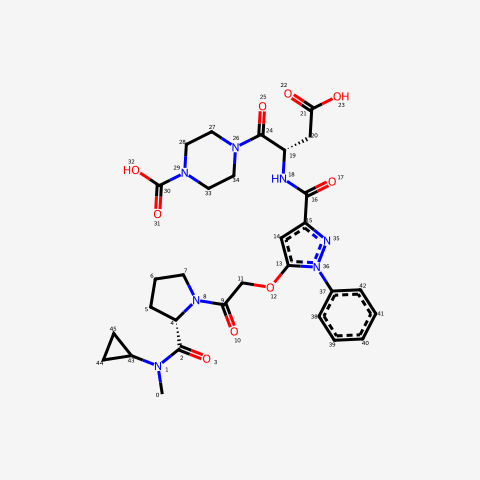 CN(C(=O)[C@@H]1CCCN1C(=O)COc1cc(C(=O)N[C@@H](CC(=O)O)C(=O)N2CCN(C(=O)O)CC2)nn1-c1ccccc1)C1CC1